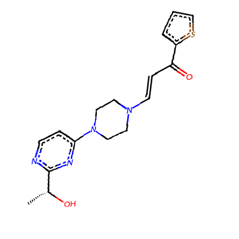 C[C@@H](O)c1nccc(N2CCN(/C=C/C(=O)c3cccs3)CC2)n1